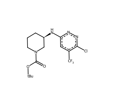 CC(C)(C)OC(=O)N1CCC[C@@H](Nc2cc(C(F)(F)F)c(Cl)nn2)C1